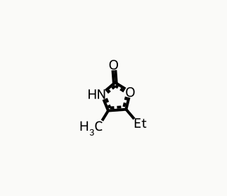 CCc1oc(=O)[nH]c1C